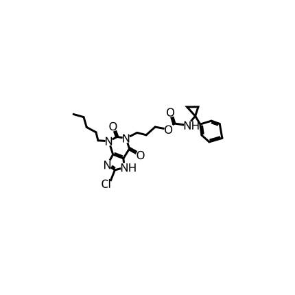 CCCCCn1c(=O)n(CCCOC(=O)NC2(c3ccccc3)CC2)c(=O)c2[nH]c(Cl)nc21